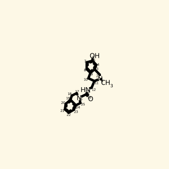 CN1Cc2cc(O)ccc2CC1CNC(=O)N1CCc2ccccc2C1